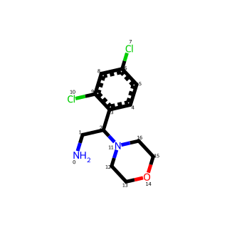 NCC(c1ccc(Cl)cc1Cl)N1CCOCC1